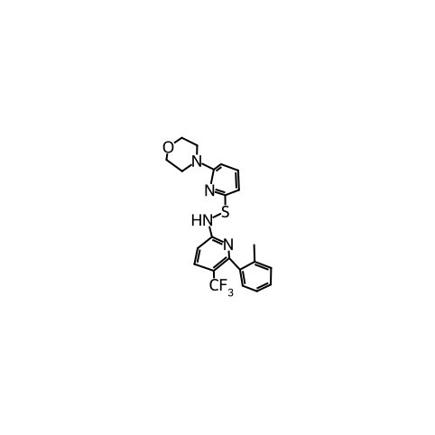 Cc1ccccc1-c1nc(NSc2cccc(N3CCOCC3)n2)ccc1C(F)(F)F